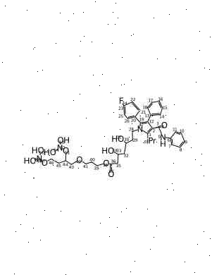 CC(C)c1c(C(=O)Nc2ccccc2)c(-c2ccccc2)c(-c2ccc(F)cc2)n1CCC(O)CC(O)CC(=O)OCCCOCC(CCON(O)O)ON(O)O